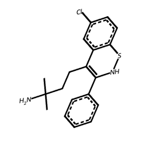 CC(C)(N)CCC1=C(c2ccccc2)NSc2ccc(Cl)cc21